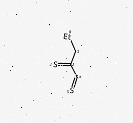 CCCC(=S)[C]=S